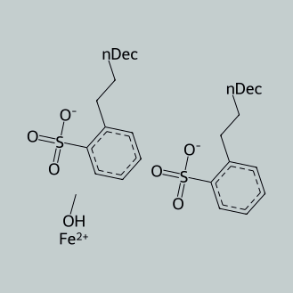 CCCCCCCCCCCCc1ccccc1S(=O)(=O)[O-].CCCCCCCCCCCCc1ccccc1S(=O)(=O)[O-].CO.[Fe+2]